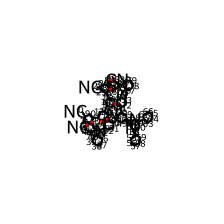 N#Cc1cc(C#N)cc(-c2ccc3c(c2)c2cc(-c4cc(C#N)cc(C#N)c4)ccc2n3-c2c(-c3ccc(-n4c5ccccc5c5ccccc54)cc3)cc(-c3nc(-c4ccccc4)cc(-c4ccccc4)n3)cc2-c2ccc(-n3c4ccccc4c4ccccc43)cc2)c1